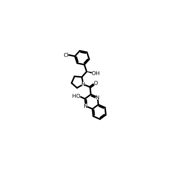 O=C(c1nc2ccccc2nc1O)N1CCCC1[C@H](O)c1cccc(Cl)c1